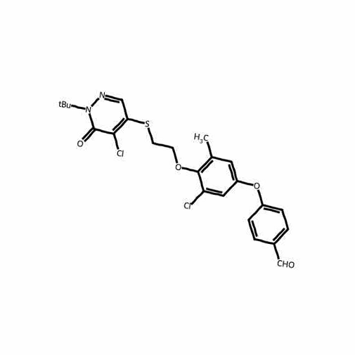 Cc1cc(Oc2ccc(C=O)cc2)cc(Cl)c1OCCSc1cnn(C(C)(C)C)c(=O)c1Cl